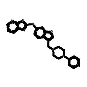 c1cnc2nc(Oc3ccc4c(CN5CCN(c6ccncc6)CC5)coc4c3)sc2c1